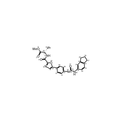 COC(=O)[C@@H](NC(=O)c1ncc(-c2ccc(NC(=O)Nc3ccc4c(c3)CCC4)cc2)o1)C(C)C